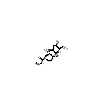 Cc1nc(NC2CCN(C(=O)OC(C)(C)C)CC2)c([N+](=O)[O-])cc1Br